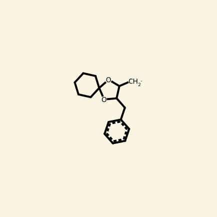 [CH2]C1OC2(CCCCC2)OC1Cc1ccccc1